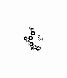 O=CO.O=S(=O)(Nc1ccncn1)c1ccc(N[C@H]2CC[C@H](c3cccc(OC(F)(F)F)c3)C[C@@H]2N2CCCC2)nc1